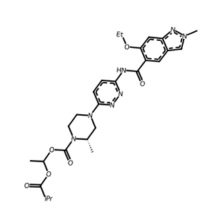 CCOc1cc2nn(C)cc2cc1C(=O)Nc1ccc(N2CCN(C(=O)OC(C)OC(=O)C(C)C)[C@@H](C)C2)nn1